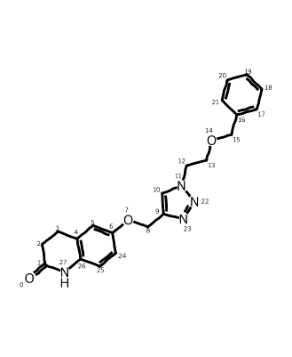 O=C1CCc2cc(OCc3cn(CCOCc4ccccc4)nn3)ccc2N1